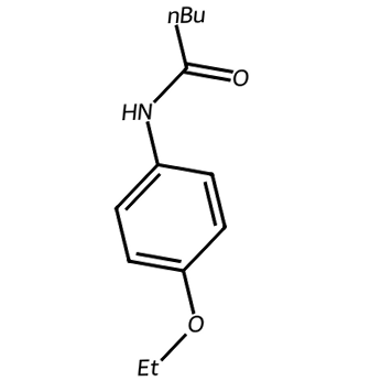 CCCCC(=O)Nc1ccc(OCC)cc1